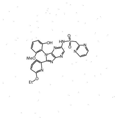 CCOC1=NC(c2nc3ncc(NS(=O)(=O)Cc4ncccn4)nc3n2-c2c(O)cccc2OC)=C=C=C1